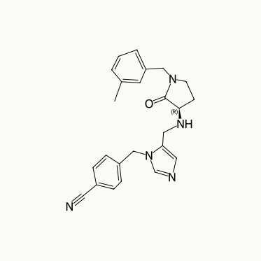 Cc1cccc(CN2CC[C@@H](NCc3cncn3Cc3ccc(C#N)cc3)C2=O)c1